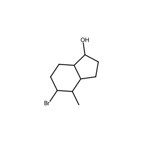 CC1C(Br)CCC2C(O)CCC12